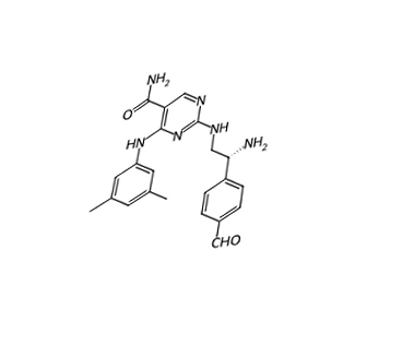 Cc1cc(C)cc(Nc2nc(NC[C@H](N)c3ccc(C=O)cc3)ncc2C(N)=O)c1